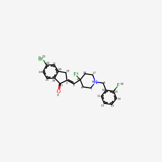 O=C1/C(=C/C2(F)CCN(Cc3ccccc3F)CC2)Cc2cc(Br)ccc21